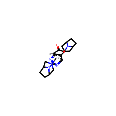 CC(C)C(=O)CN1C2CCC1CC(c1cnc(N3C4CCC3CN(C(C)C)C4)nc1)C2